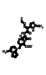 Nc1cc[n+](CC2=C(C(=O)[O-])N3C(=O)[C@@H](NC(=O)C(=NOCF)C4=CSN(N)N4)[C@@H]3SC2)c2ccnn12